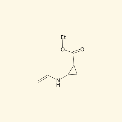 C=CNC1CC1C(=O)OCC